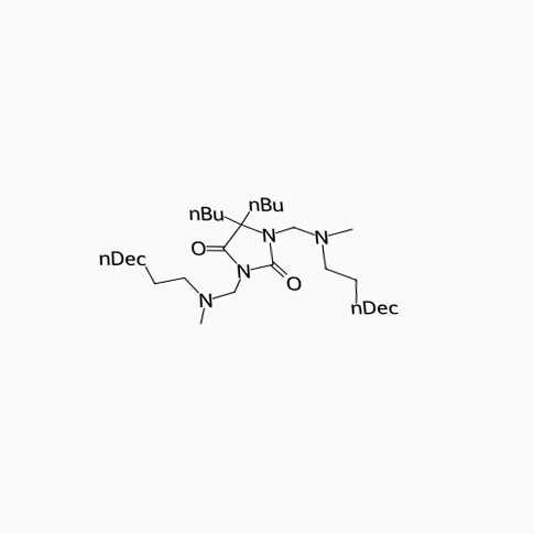 CCCCCCCCCCCCN(C)CN1C(=O)N(CN(C)CCCCCCCCCCCC)C(CCCC)(CCCC)C1=O